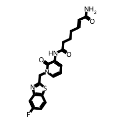 NC(=O)/C=C/CCCC(=O)Nc1cccn(Cc2nc3cc(F)ccc3s2)c1=O